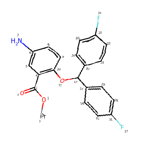 CC(C)OC(=O)c1cc(N)ccc1OC(c1ccc(F)cc1)c1ccc(F)cc1